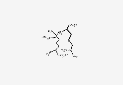 CC(N)(CSCC(N)C(=O)O)C(=O)O.NC(CSCC(N)C(=O)O)C(=O)O